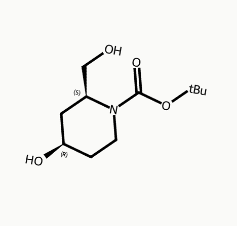 CC(C)(C)OC(=O)N1CC[C@@H](O)C[C@H]1CO